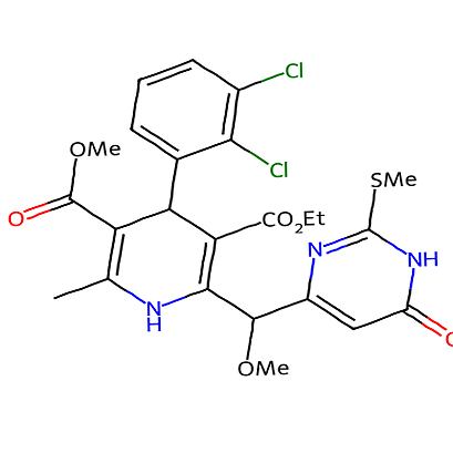 CCOC(=O)C1=C(C(OC)c2cc(=O)[nH]c(SC)n2)NC(C)=C(C(=O)OC)C1c1cccc(Cl)c1Cl